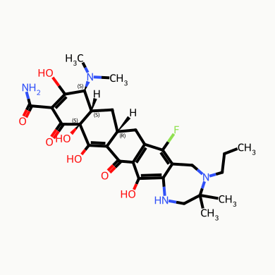 CCCN1Cc2c(F)c3c(c(O)c2NCC1(C)C)C(=O)C1=C(O)[C@]2(O)C(=O)C(C(N)=O)=C(O)[C@@H](N(C)C)[C@@H]2C[C@@H]1C3